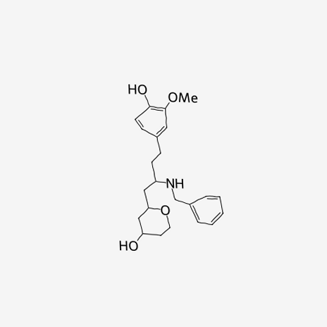 COc1cc(CCC(CC2CC(O)CCO2)NCc2ccccc2)ccc1O